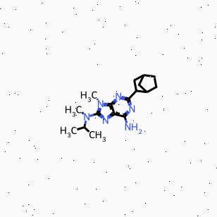 CC(C)N(C)c1nc2c(N)nc(C3CC4CCC3C4)nc2n1C